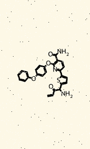 C=CC(=O)C(N)c1ccc(-c2ccc(C(N)=O)c(Oc3ccc(Oc4ccccc4)cc3)n2)s1